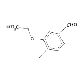 CCOC(=O)COc1cc(C=O)ccc1C